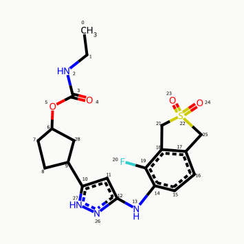 CCNC(=O)OC1CCC(c2cc(Nc3ccc4c(c3F)CS(=O)(=O)C4)n[nH]2)C1